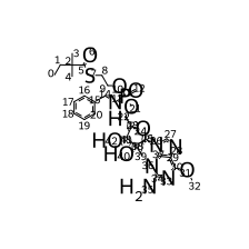 CCC(C)(C)C(=O)SCCOP(=O)(NCc1ccccc1)OC[C@H]1O[C@@H](n2cnc3c(OC)nc(N)nc32)[C@](C)(O)[C@@H]1O